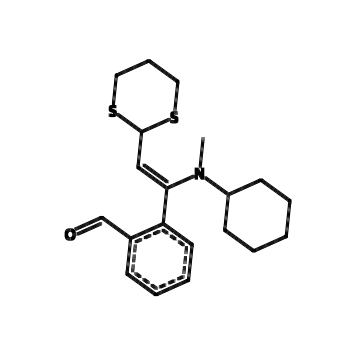 CN(/C(=C\C1SCCCS1)c1ccccc1C=O)C1CCCCC1